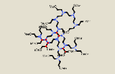 COCCN(CCOC)CCN(CCOC)CCN(CCOC)CCN(CCOC)CCN(CCN(CCN(CCOC)CCN(CCOC)CCOC)CCN(CCOC)CCN(CCOC)CCOC)CCN(CCN(CCOC)CCN(CCOC)CCOC)CCN(CCOC)CCN(CCOC)CCOC